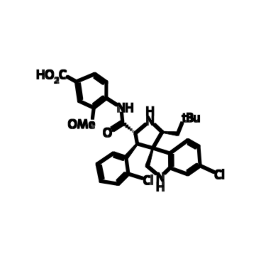 COc1cc(C(=O)O)ccc1NC(=O)[C@@H]1N[C@@H](CC(C)(C)C)[C@@]2(CNc3cc(Cl)ccc32)[C@H]1c1ccccc1Cl